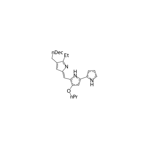 CCCCCCCCCCCC1=C/C(=C/c2[nH]c(-c3ccc[nH]3)cc2OCCC)N=C1CC